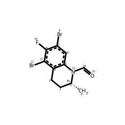 C[C@@H]1CCc2c(cc(Br)c(F)c2Br)N1C=O